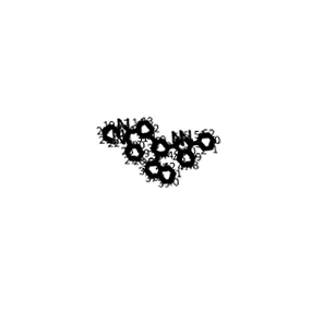 c1ccc(-c2nnc(-c3cc(-c4cccc(-c5nc6ccccn6c5-c5ccccc5)c4)cc(-c4cccc5ccccc45)c3)c3ccccc23)cc1